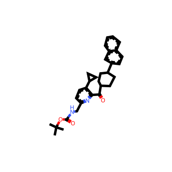 CC(C)(C)OC(=O)NCc1ccc(C2CC2)c(C(=O)C2CCC(c3ccc4ccccc4c3)CC2)n1